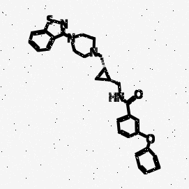 O=C(NC[C@H]1C[C@@H]1CN1CCN(c2nsc3ccccc23)CC1)c1cccc(Oc2ccccc2)c1